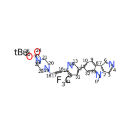 Cn1c2ccncc2c2ccc(-c3cnc(C#CCN4CCN(C(=O)OC(C)(C)C)CC4)c(C(F)(F)F)c3)cc21